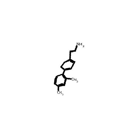 Cc1ccc(C2=CC=C(CCN)CC2)c(C)c1